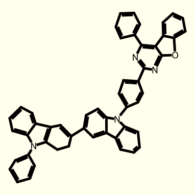 C1=C(c2ccc3c(c2)c2ccccc2n3-c2ccc(-c3nc(-c4ccccc4)c4c(n3)oc3ccccc34)cc2)CCc2c1c1ccccc1n2-c1ccccc1